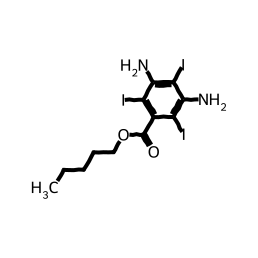 CCCCCOC(=O)c1c(I)c(N)c(I)c(N)c1I